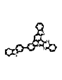 c1ccc2nc3c(nc2c1)c1c2sc4ccccc4c2cc2c4cc(-c5ccc6c(c5)sc5ccccc56)ccc4n3c21